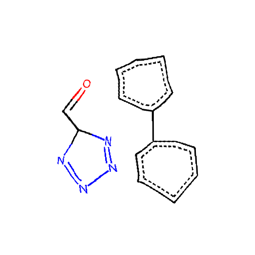 O=CC1N=NN=N1.c1ccc(-c2ccccc2)cc1